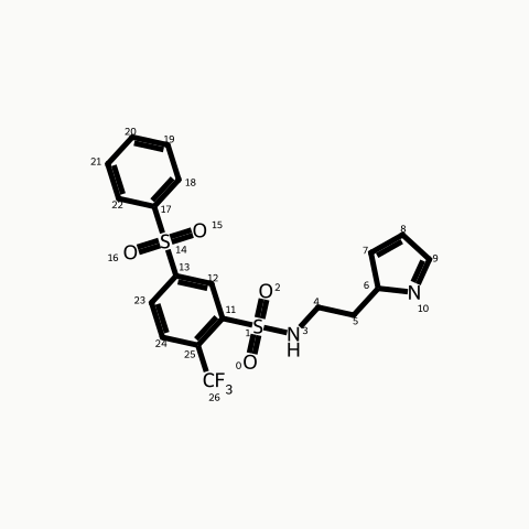 O=S(=O)(NCCC1C=CC=N1)c1cc(S(=O)(=O)c2ccccc2)ccc1C(F)(F)F